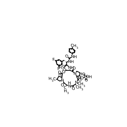 Cc1ccc(NC(=O)N[C@@H](Cc2cc(F)cc(F)c2)C(=O)N[C@@H]2C(=O)N3CCC(OP(=O)(O)O)[C@H]3C(=O)N(C)[C@@H](C)C(=O)N[C@@H](C)C(=O)N3C[C@@H](C)C[C@H]3C(=O)O[C@H]2C)cc1